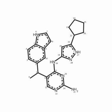 CC(c1ccc2[nH]ccc2c1)c1cnc(N)nc1Nc1cc(C2CCCC2)[nH]n1